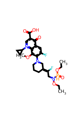 CCON(CC(F)=C1CCCN(c2c(F)cc3c(=O)c(C(=O)O)cn(C4CC4)c3c2OC)C1)[PH](=O)OCC